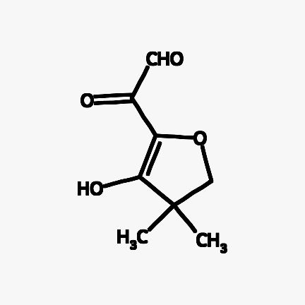 CC1(C)COC(C(=O)C=O)=C1O